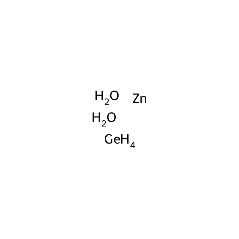 O.O.[GeH4].[Zn]